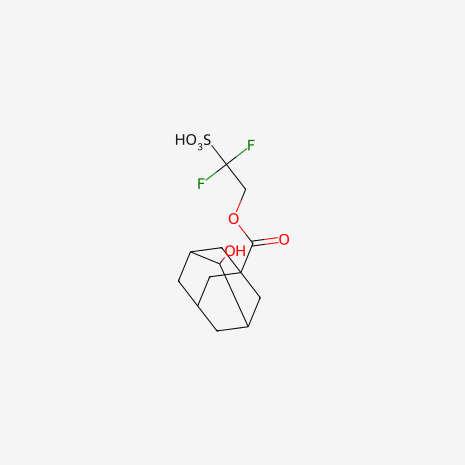 O=C(OCC(F)(F)S(=O)(=O)O)C12CC3CC(C1)C(O)C(C3)C2